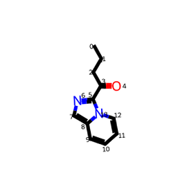 C[CH]CC(=O)c1ncc2ccccn12